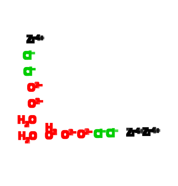 O.O.O.[Cl-].[Cl-].[Cl-].[Cl-].[O-2].[O-2].[O-2].[O-2].[Zr+4].[Zr+4].[Zr+4]